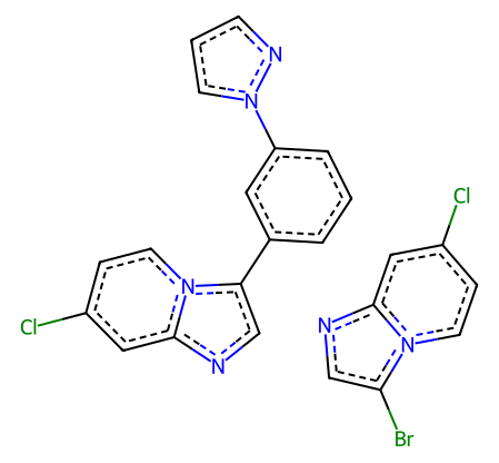 Clc1ccn2c(-c3cccc(-n4cccn4)c3)cnc2c1.Clc1ccn2c(Br)cnc2c1